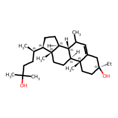 CC[C@]1(O)CC[C@@]2(C)C(=CC(C)[C@H]3[C@@H]4CC[C@H]([C@H](C)CCC(C)(C)O)[C@@]4(C)CC[C@@H]32)C1